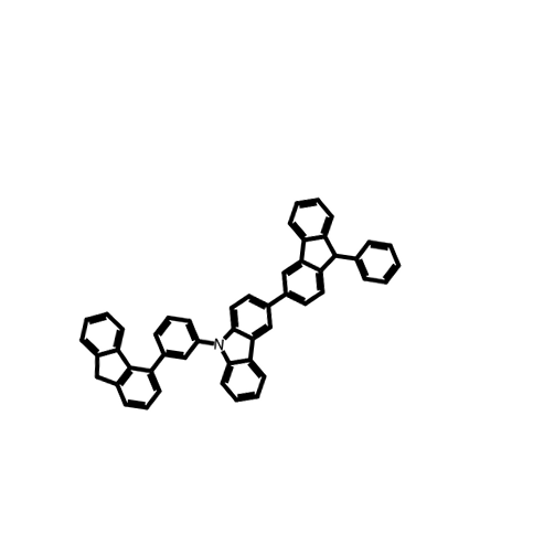 c1ccc(C2c3ccccc3-c3cc(-c4ccc5c(c4)c4ccccc4n5-c4cccc(-c5cccc6c5-c5ccccc5C6)c4)ccc32)cc1